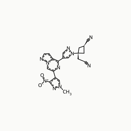 Cn1cc(-c2cn3nccc3c(-c3cnn([C@]4(CC#N)C[C@@H](C#N)C4)c3)n2)c([N+](=O)[O-])n1